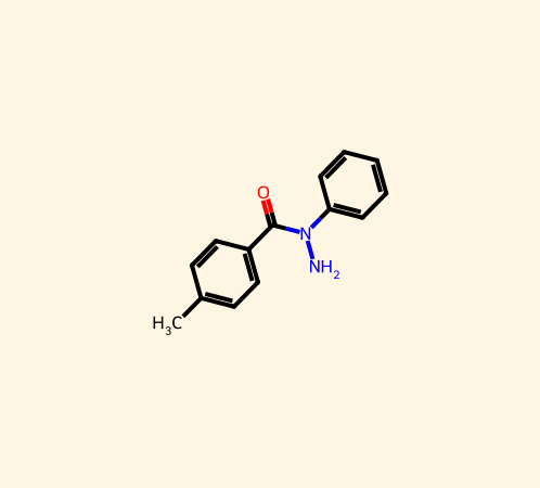 Cc1ccc(C(=O)N(N)c2ccccc2)cc1